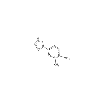 Cc1cc(-c2nc[nH]n2)ccc1N